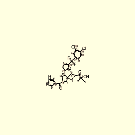 CC(C)(C#N)C(=O)N1CC2(CN(C(=O)c3cn[nH]c3)CC2c2nnc(C(F)(F)c3ccc(Cl)c(Cl)c3)o2)C1